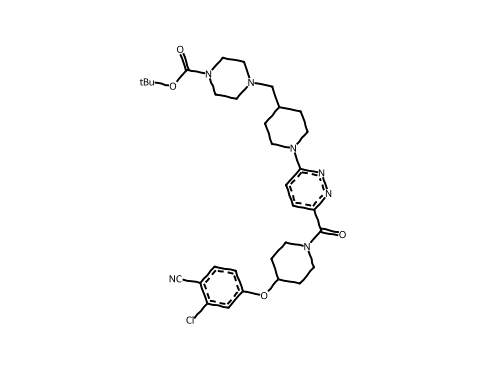 CC(C)(C)OC(=O)N1CCN(CC2CCN(c3ccc(C(=O)N4CCC(Oc5ccc(C#N)c(Cl)c5)CC4)nn3)CC2)CC1